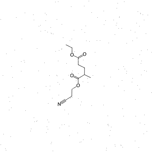 CCOC(=O)CCC(C)C(=O)OCCC#N